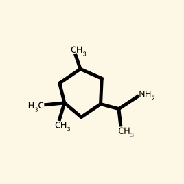 CC1CC(C(C)N)CC(C)(C)C1